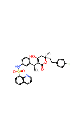 CCCC1(CCc2ccc(F)cc2)CC(O)=C(C(c2cccc(NS(=O)(=O)c3cccc4cccnc34)c2)C(C)(C)C)C(=O)O1